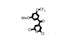 COc1cc(OC(F)(F)F)cc(C(=O)c2cc(Cl)nc(Cl)c2)c1